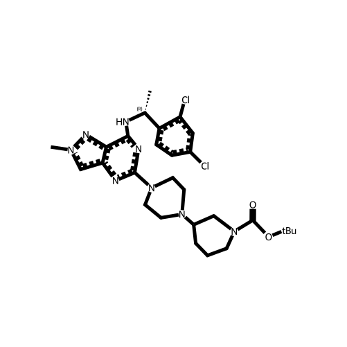 C[C@@H](Nc1nc(N2CCN(C3CCCN(C(=O)OC(C)(C)C)C3)CC2)nc2cn(C)nc12)c1ccc(Cl)cc1Cl